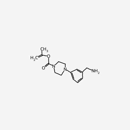 C=C(C)OC(=O)N1CCN(c2cccc(CN)c2)CC1